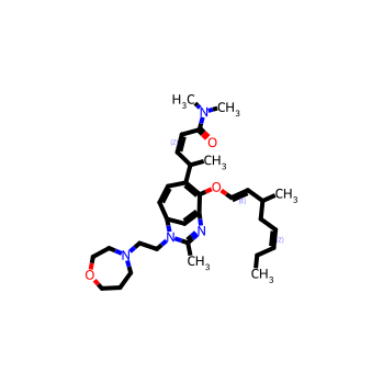 CC/C=C\CC(C)/C=C/OC1=C(C(C)/C=C\C(=O)N(C)C)C=CC2C=C1N=C(C)N2CCN1CCCOCC1